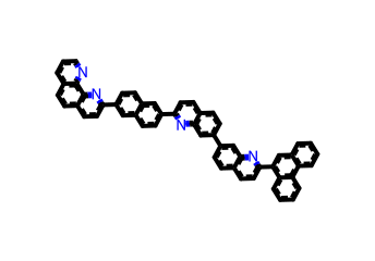 c1ccc2c(c1)cc(-c1ccc3ccc(-c4ccc5ccc(-c6ccc7cc(-c8ccc9ccc%10cccnc%10c9n8)ccc7c6)nc5c4)cc3n1)c1ccccc12